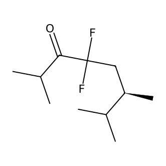 CC(C)C(=O)C(F)(F)C[C@@H](C)C(C)C